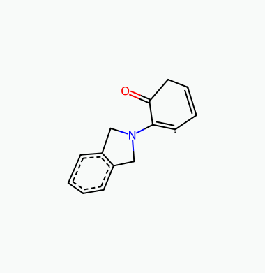 O=C1CC=C[C]=C1N1Cc2ccccc2C1